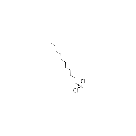 CCCCCCCCC/C=C/[Si](C)(Cl)Cl